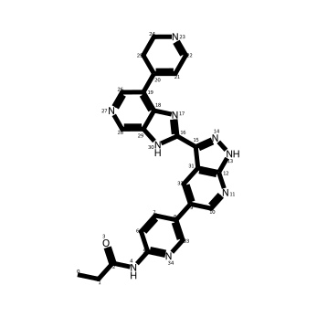 CCC(=O)Nc1ccc(-c2cnc3[nH]nc(-c4nc5c(C6=CC=NCC6)cncc5[nH]4)c3c2)cn1